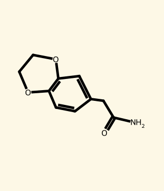 NC(=O)Cc1ccc2c(c1)OCCO2